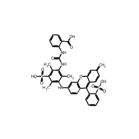 C=c1ccc2c(c1)Oc1cc(Nc3c(C)c(NC(=O)Nc4ccccc4C(=O)O)c(C)c(S(=O)(=O)O)c3C)ccc1C=2c1ccccc1S(=O)(=O)O